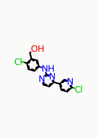 OCc1cc(Nc2nccc(-c3ccc(Cl)nc3)n2)ccc1Cl